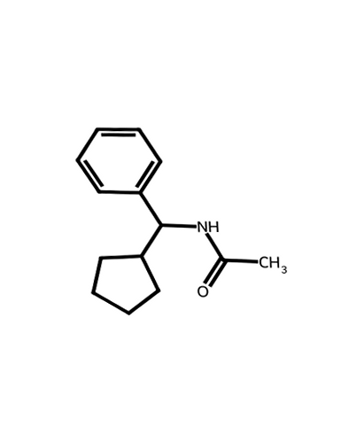 CC(=O)NC(c1ccccc1)C1CCCC1